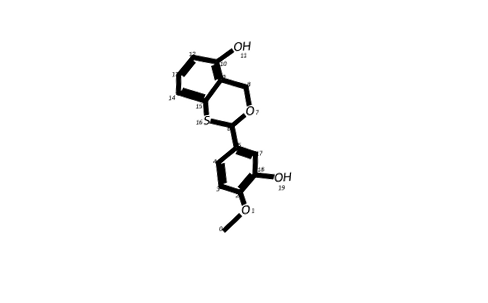 COc1ccc(C2OCc3c(O)cccc3S2)cc1O